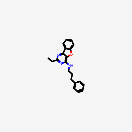 CCc1nc(NCCCc2cc#ccc2)c2oc3ccccc3c2n1